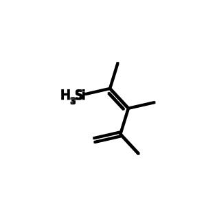 C=C(C)C(C)=C(C)[SiH3]